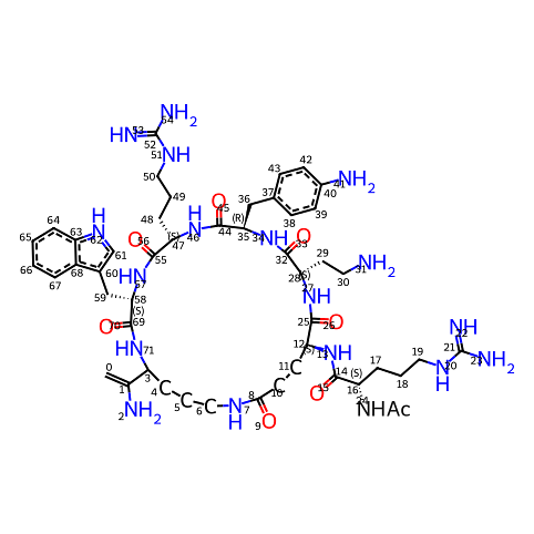 C=C(N)C1CCCNC(=O)CC[C@H](NC(=O)[C@H](CCCNC(=N)N)NC(C)=O)C(=O)N[C@@H](CCN)C(=O)N[C@H](Cc2ccc(N)cc2)C(=O)N[C@@H](CCCNC(=N)N)C(=O)N[C@@H](Cc2c[nH]c3ccccc23)C(=O)N1